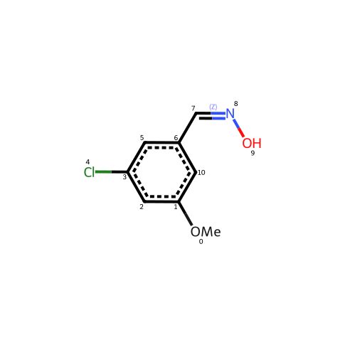 COc1cc(Cl)cc(/C=N\O)c1